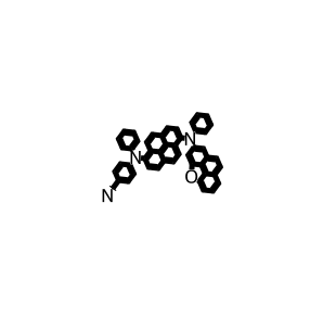 N#Cc1ccc(N(c2ccccc2)c2ccc3ccc4c(N(c5ccccc5)c5cc6ccc7cccc8oc(c5)c6c78)ccc5ccc2c3c54)cc1